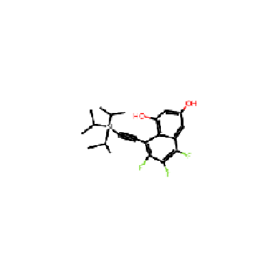 CC(C)[Si](C#Cc1c(F)c(F)c(F)c2cc(O)cc(O)c12)(C(C)C)C(C)C